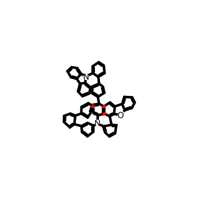 c1ccc(-c2ccccc2-c2cccc(N(c3ccc(-c4ccc(-c5ccccc5-n5c6ccccc6c6ccccc65)cc4)cc3)c3ccccc3-c3cccc4c3oc3ccccc34)c2)cc1